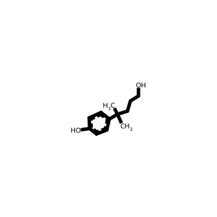 CC(C)(CCCO)c1ccc(O)cc1